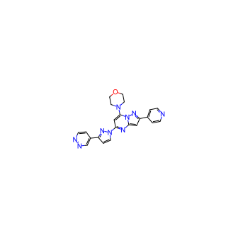 c1cc(-c2cc3nc(-n4ccc(-c5ccnnc5)n4)cc(N4CCOCC4)n3n2)ccn1